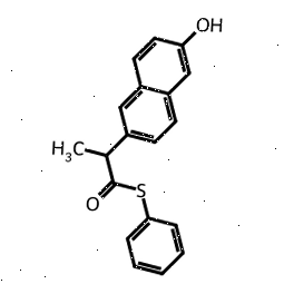 CC(C(=O)Sc1ccccc1)c1ccc2cc(O)ccc2c1